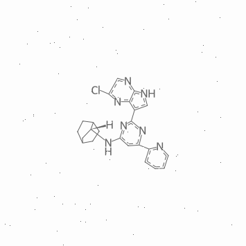 Clc1cnc2[nH]cc(-c3nc(N[C@@H]4CC5CCC4CC5)cc(-c4ccccn4)n3)c2n1